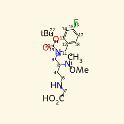 CON(C)C(CCNCC(=O)O)CN(Cc1ccc(F)cc1)C(=O)OC(C)(C)C